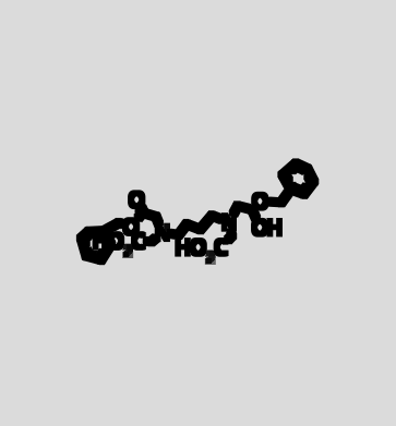 O=C(O)CN(CCCCN(CC(=O)O)CC(O)OCc1ccccc1)CC(=O)OCc1ccccc1